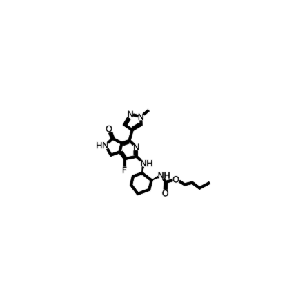 CCCCOC(=O)N[C@H]1CCCC[C@H]1Nc1nc(-c2cnn(C)c2)c2c(c1F)CNC2=O